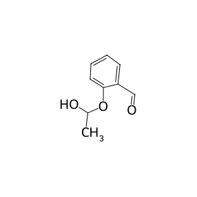 CC(O)Oc1ccccc1C=O